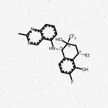 CC[C@H]1C[C@](O)(C(F)(F)F)[C@@H](Nc2cccc3nc(C)ncc23)c2ccc(F)c(O)c21